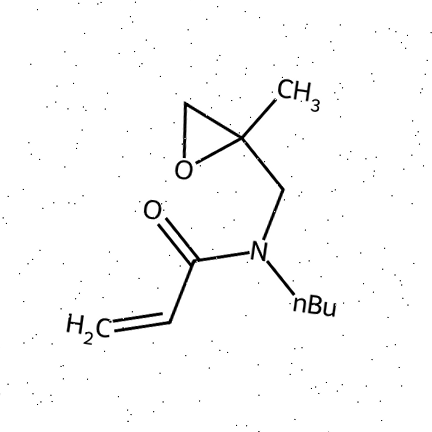 C=CC(=O)N(CCCC)CC1(C)CO1